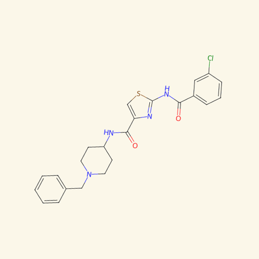 O=C(Nc1nc(C(=O)NC2CCN(Cc3ccccc3)CC2)cs1)c1cccc(Cl)c1